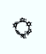 CC(C)C[C@@H]1NC(=O)[C@H]2CCCN2Cc2cccc(c2)Nc2cc(ncn2)Nc2cccc(c2)CN2CCN(CC2)C1=O